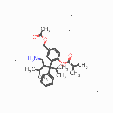 CC(=O)OCc1ccc(OC(=O)C(C)C)c(C(c2ccccc2)(C(C)C)C(CN)C(C)C)c1